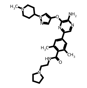 Cc1cc(-c2cnc(N)c(Oc3cnn(C4CCN(C)CC4)c3)n2)cc(C)c1C(=O)NCCN1CCCC1